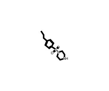 CCCc1ccc(S(=O)(=O)N2CCNCC2)cc1